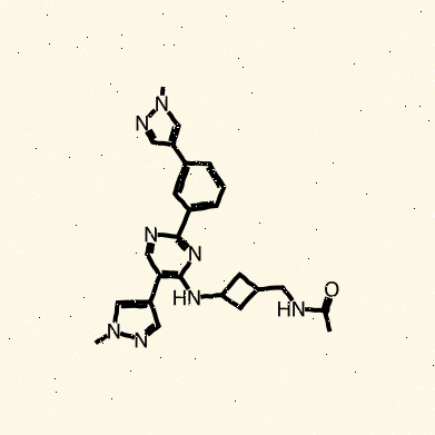 CC(=O)NCC1CC(Nc2nc(-c3cccc(-c4cnn(C)c4)c3)ncc2-c2cnn(C)c2)C1